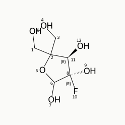 OCC1(CO)OC(O)[C@](O)(F)[C@@H]1O